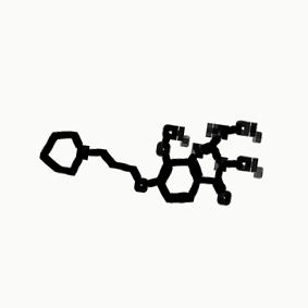 CNc1nc2c(OC)c(OCCCN3CCCCC3)ccc2c(=O)n1C